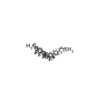 C=CC1CCC(c2ccc(-c3ccc(OC(F)(F)COc4ccc(OCC)c(F)c4F)c(F)c3F)cc2)CC1